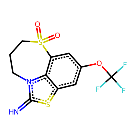 N=c1sc2cc(OC(F)(F)F)cc3c2n1CCCS3(=O)=O